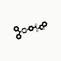 O=C(Nc1cnc2ccccc2c1)c1ccc(N2CCN(C(c3ccccc3)c3ccccc3)CC2)cc1